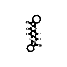 N=c1c2c(c3nc4c(=O)c5c(=O)n6c(=N)c7c(c6nc5c(=O)c4c(=O)n13)CCCCC7)CCCCCC2